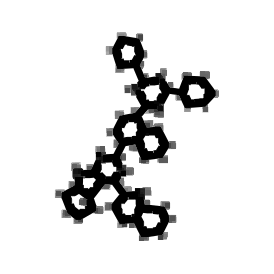 c1ccc(-c2nc(-c3ccccc3)nc(-c3ccc(-c4nc(-c5ccc6ccccc6n5)c5c(n4)oc4ccccc45)c4ccccc34)n2)cc1